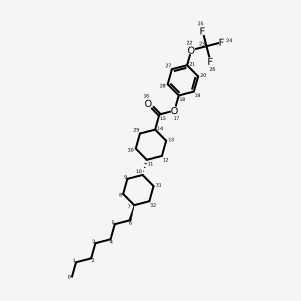 CCCCCCC[C@H]1CC[C@H](C2CCC(C(=O)Oc3ccc(OC(F)(F)F)cc3)CC2)CC1